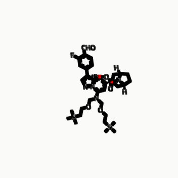 CC(C)(C)OC(=O)N1[C@@H]2CC[C@H]1C[C@@H](c1cc(N(COCC[Si](C)(C)C)COCC[Si](C)(C)C)n3ncc(-c4ccc(C=O)c(F)c4)c3n1)C2